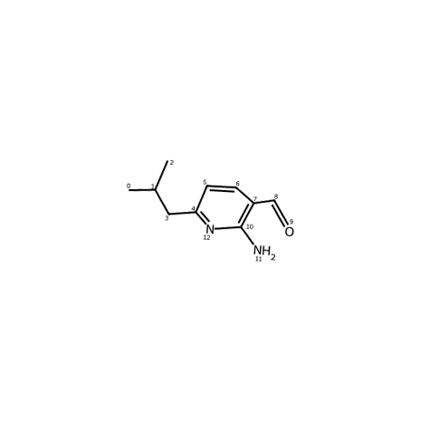 CC(C)Cc1ccc(C=O)c(N)n1